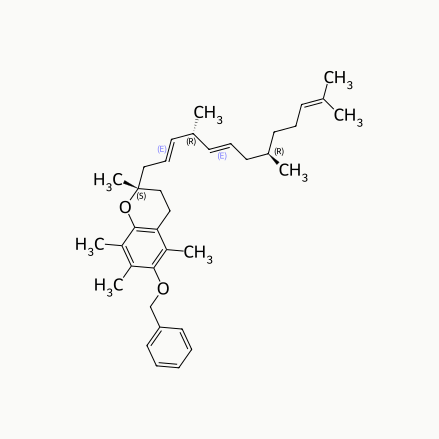 CC(C)=CCC[C@@H](C)C/C=C/[C@@H](C)/C=C/C[C@]1(C)CCc2c(C)c(OCc3ccccc3)c(C)c(C)c2O1